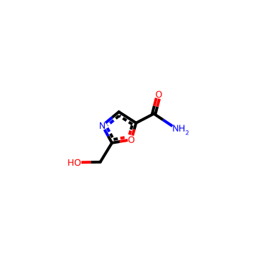 NC(=O)c1cnc(CO)o1